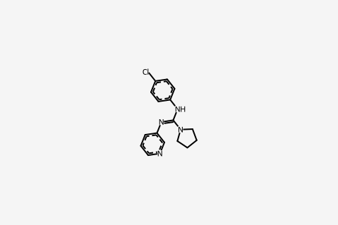 Clc1ccc(NC(=Nc2cccnc2)N2CCCC2)cc1